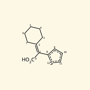 O=C(O)C(=C1CCCCC1)c1cccs1